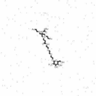 CCCCC(=O)NC(COCCC(C)=O)(COCCC(C)=O)COCCC(=O)NCCOCCOCCOC1OC(CO)C(O)C(O)C1C